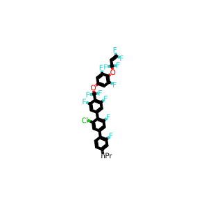 CCCc1ccc(-c2cc(F)c(-c3cc(F)c(C(F)(F)Oc4cc(F)c(OC(F)(F)C=C(F)F)c(F)c4)c(F)c3)c(Cl)c2)c(F)c1